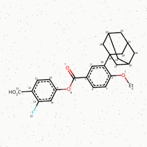 CCOc1ccc(C(=O)Oc2ccc(C(=O)O)c(F)c2)cc1C12CC3CC(CC(C3)C1)C2